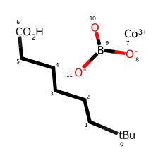 CC(C)(C)CCCCCC(=O)O.[Co+3].[O-]B([O-])[O-]